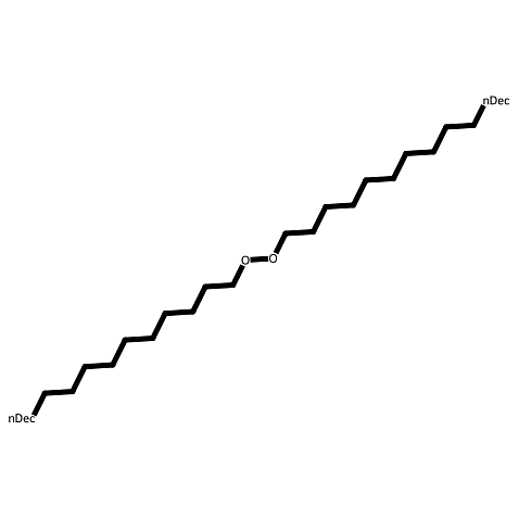 CCCCCCCCCCCCCCCCCCCCOOCCCCCCCCCCCCCCCCCCCC